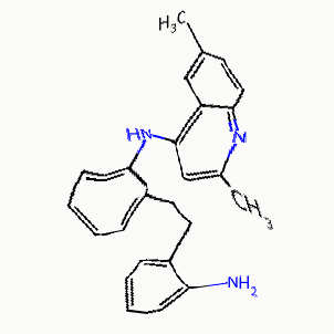 Cc1ccc2nc(C)cc(Nc3ccccc3CCc3ccccc3N)c2c1